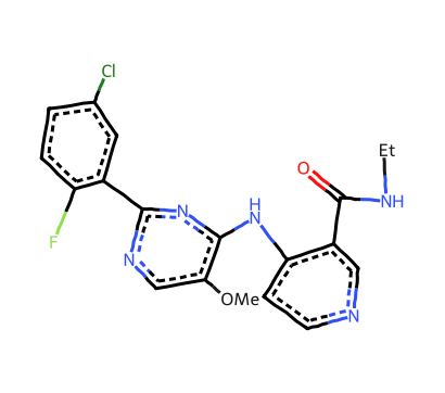 [CH2]CNC(=O)c1cnccc1Nc1nc(-c2cc(Cl)ccc2F)ncc1OC